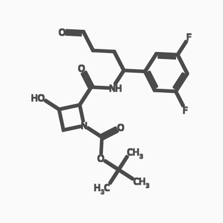 CC(C)(C)OC(=O)N1CC(O)C1C(=O)NC(CCC=O)c1cc(F)cc(F)c1